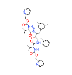 Cc1cc(C)cc(C[C@H](NC(=O)[C@@H](NC(=O)OCc2ccccn2)C(C)C)C(O)[C@H](Cc2ccccc2)NC(=O)[C@@H](NC(=O)OCc2ccccn2)C(C)C)c1